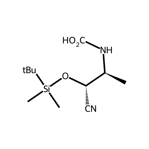 C[C@H](NC(=O)O)[C@H](C#N)O[Si](C)(C)C(C)(C)C